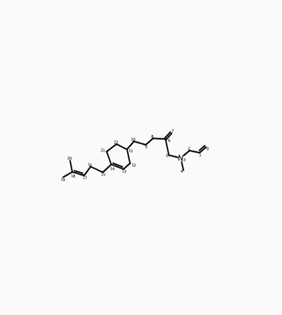 C=CCN(C)CC(=C)CCCC1CC=C(CCC=C(C)C)CC1